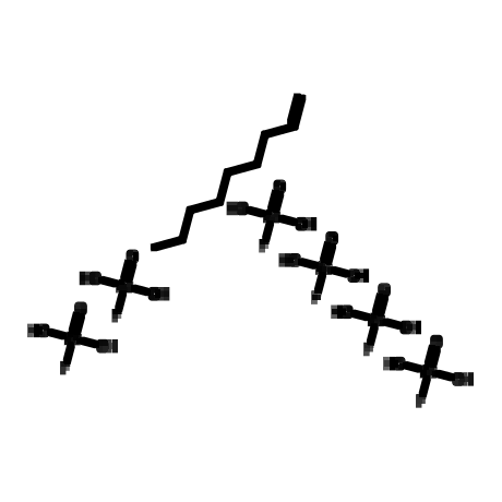 C=CCCCCCCC.O=[As](O)(O)F.O=[As](O)(O)F.O=[As](O)(O)F.O=[As](O)(O)F.O=[As](O)(O)F.O=[As](O)(O)F